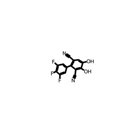 N#Cc1cc(O)c(O)c(C#N)c1-c1cc(F)c(F)c(F)c1